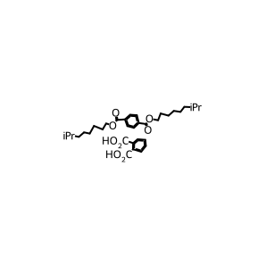 CC(C)CCCCCCOC(=O)c1ccc(C(=O)OCCCCCCC(C)C)cc1.O=C(O)c1ccccc1C(=O)O